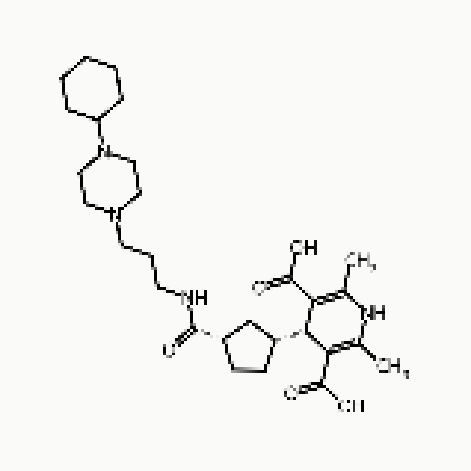 CC1=C(C(=O)O)C([C@@H]2CC[C@H](C(=O)NCCCN3CCN(C4CCCCC4)CC3)C2)C(C(=O)O)=C(C)N1